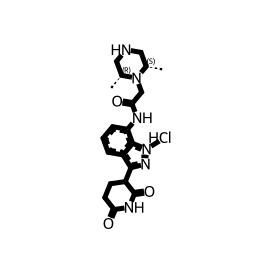 C[C@@H]1CNC[C@H](C)N1CC(=O)Nc1cccc2c(C3CCC(=O)NC3=O)nn(C)c12.Cl